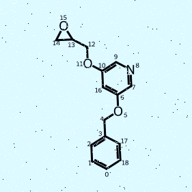 c1ccc(COc2cncc(OCC3CO3)c2)cc1